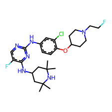 CC1(C)CC(Nc2nc(Nc3ccc(OC4CCN(CCF)CC4)c(Cl)c3)ncc2F)CC(C)(C)N1